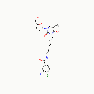 Nc1cc(C(=O)NCCCCCCn2c(=O)c(C(F)(F)F)cn([C@H]3CC[C@@H](CO)O3)c2=O)ccc1F